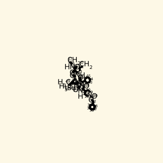 C=CCC[C@@H](NC(=O)[C@@H]1C2C(CN1C(=O)[C@@H](NC(=O)C(NC(=O)OC(C)(C)C)C1CCN(C(=O)OCc3ccccc3)CC1)C1CCCCC1)C2(C)C)C(=O)C(=O)NCC=C